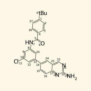 CC(C)(C)c1ccc(C(=O)Nc2cc(Cl)cc(-c3ccc4nc(N)ncc4c3)c2)cc1